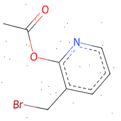 CC(=O)Oc1ncccc1CBr